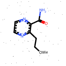 COCCc1nccnc1C(N)=O